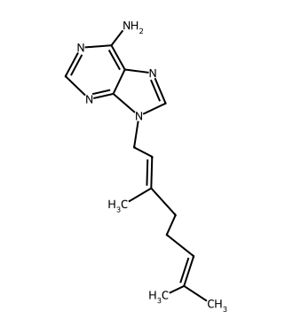 CC(C)=CCC/C(C)=C/Cn1cnc2c(N)ncnc21